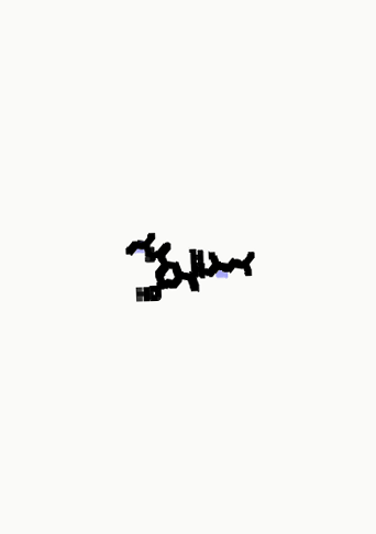 C=C(NC/C(C)=C/C=C(C)C)c1cc(O)cc(C(=C)S/C(C)=C\C)c1